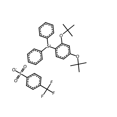 CC(C)(C)Oc1ccc([S+](c2ccccc2)c2ccccc2)c(OC(C)(C)C)c1.O=S(=O)([O-])c1ccc(C(F)(F)F)cc1